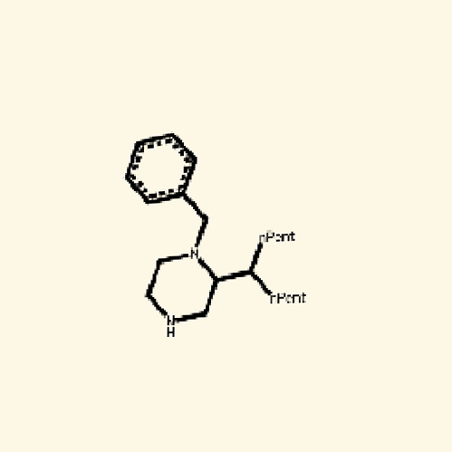 CCCCCC(CCCCC)C1CNCCN1Cc1ccccc1